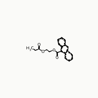 CCC(=O)OCCOC(=O)c1c2ccccc2cc2ccccc12